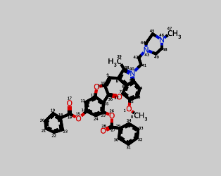 COc1ccc2c(c1)c(C=C1Oc3cc(OC(=O)c4ccccc4)cc(OC(=O)c4ccccc4)c3C1=O)c(C)n2CCN1CCN(C)CC1